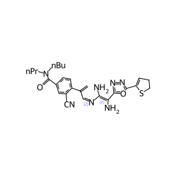 C=C(/C=N\C(N)=C(/N)c1nnc(C2=CCCS2)o1)c1ccc(C(=O)N(CCC)CCCC)cc1C#N